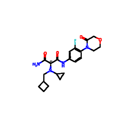 NC(=O)[C@@H](C(=O)Nc1ccc(N2CCOCC2=O)c(F)c1)N(CC1CCC1)C1CC1